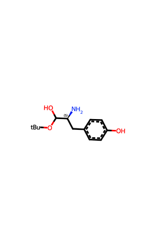 CC(C)(C)OC(O)[C@@H](N)Cc1ccc(O)cc1